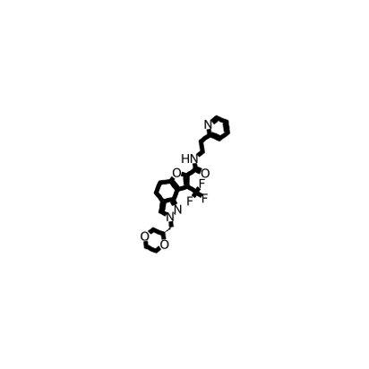 O=C(NCCc1ccccn1)c1oc2c(c1C(F)(F)F)-c1nn(C[C@H]3COCCO3)cc1CC2